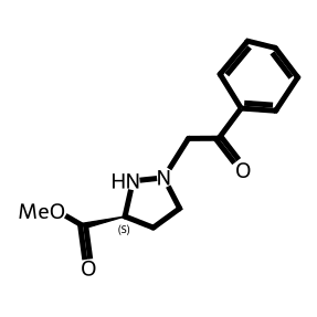 COC(=O)[C@@H]1CCN(CC(=O)c2ccccc2)N1